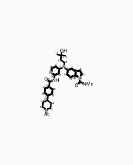 CNC(=O)n1ccc2cc(N(CCC(C)(C)O)c3ccnc(NC(=O)c4ccc(C5CCN(C(C)=O)CC5)cc4)c3)ccc21